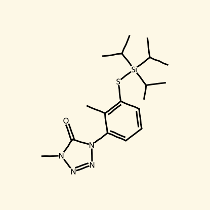 Cc1c(S[Si](C(C)C)(C(C)C)C(C)C)cccc1-n1nnn(C)c1=O